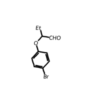 CCC(C=O)Oc1ccc(Br)cc1